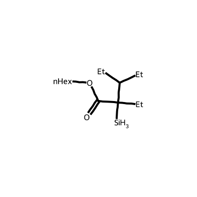 CCCCCCOC(=O)C([SiH3])(CC)C(CC)CC